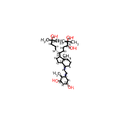 C=C1/C(=C\C=C2/CCC[C@@]3(C)C2CCC3[C@H](CCCC(C)(C)O)CC[C@@H](O)C(C)(C)O)C[C@@H](O)C[C@@H]1O